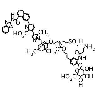 Cc1c(-c2ccc(-c3ccc4cccc(C(=O)Nc5nc6ccccc6s5)c4c3)nc2C(=O)O)cnn1CC12CC3(C)CC(C)(C1)CC(OCCN(CCS(=O)(=O)O)C(=O)OCC=Cc1ccc(O[C@@H]4O[C@H](C(=O)O)[C@@H](O)[C@H](O)[C@H]4O)c(NC(=O)CCN)c1)(C3)C2